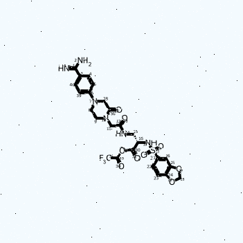 N=C(N)c1ccc(N2CCN(CC(=O)NC[C@H](NS(=O)(=O)c3ccc4c(c3)OCO4)C(=O)OC(=O)C(F)(F)F)C(=O)C2)cc1